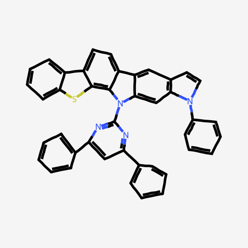 c1ccc(-c2cc(-c3ccccc3)nc(-n3c4cc5c(ccn5-c5ccccc5)cc4c4ccc5c6ccccc6sc5c43)n2)cc1